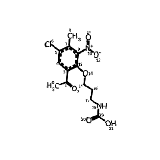 CC(=O)c1cc(Cl)c(C)c([N+](=O)[O-])c1OCCCNC(=O)O